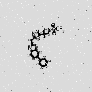 CC(C)(CNS(=O)(=O)C(F)(F)F)c1nnc(CC2=NC3C=CC(c4ccccc4)=CC3S2)o1